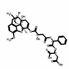 COc1ccc2c3c1O[C@@H]1C(OC(=O)[C@@H](O)CC(=O)O[C@H](C(=O)O[C@@H](CC(=O)O)C(=O)O)c4ccccc4)=CC[C@]4(O)[C@H](C2)N(C)CC[C@@]314